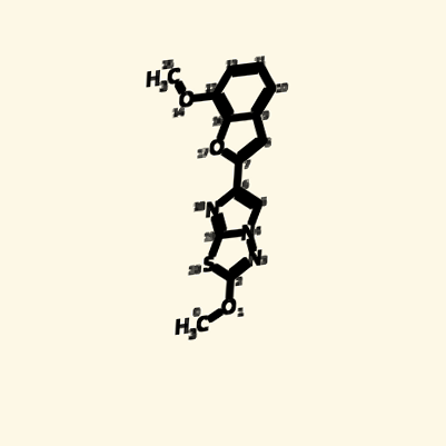 COc1nn2cc(-c3cc4cccc(OC)c4o3)nc2s1